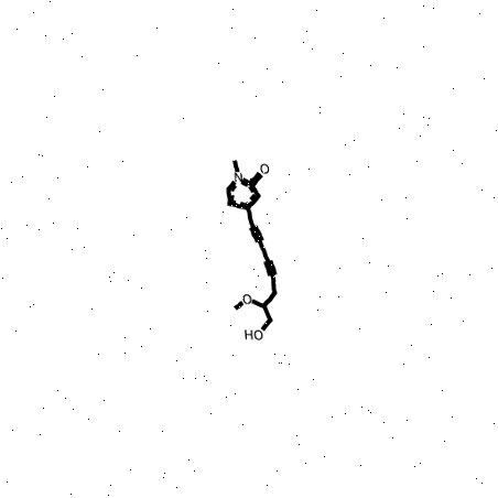 COC(CO)CC#CC#Cc1ccn(C)c(=O)c1